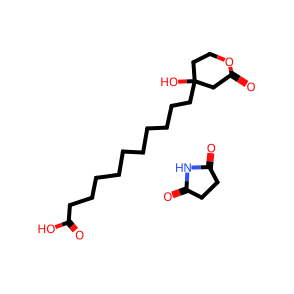 O=C(O)CCCCCCCCCCC1(O)CCOC(=O)C1.O=C1CCC(=O)N1